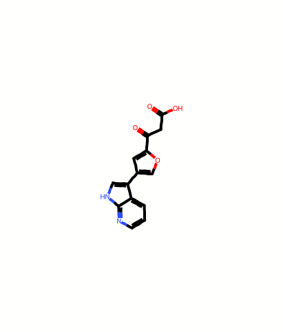 O=C(O)CC(=O)c1cc(-c2c[nH]c3ncccc23)co1